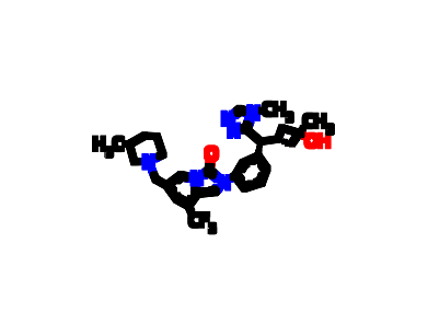 C[C@H]1CCCN(Cc2cc(C(F)(F)F)c3cn(-c4cccc([C@H](c5nncn5C)[C@H]5C[C@](C)(O)C5)c4)c(=O)n3c2)C1